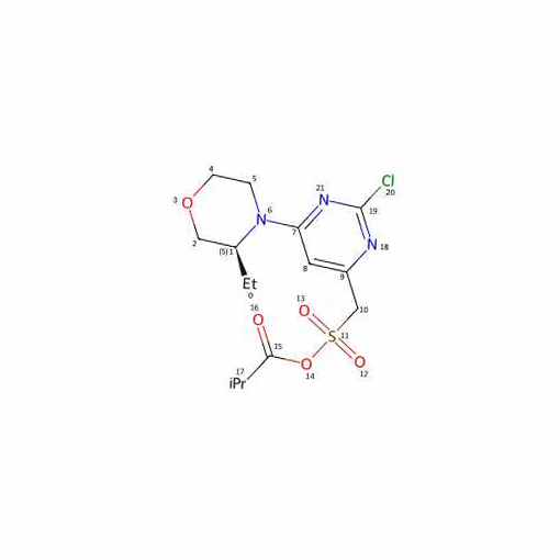 CC[C@H]1COCCN1c1cc(CS(=O)(=O)OC(=O)C(C)C)nc(Cl)n1